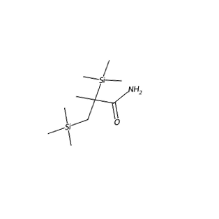 CC(C[Si](C)(C)C)(C(N)=O)[Si](C)(C)C